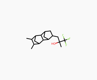 CC1C(C)C2CC1C1C3CC(CC(C)(O)C(F)(F)F)C(C3)C21